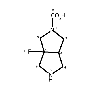 O=C(O)N1CC2CNCC2(F)C1